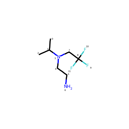 CC(C)N(CCN)CC(F)(F)F